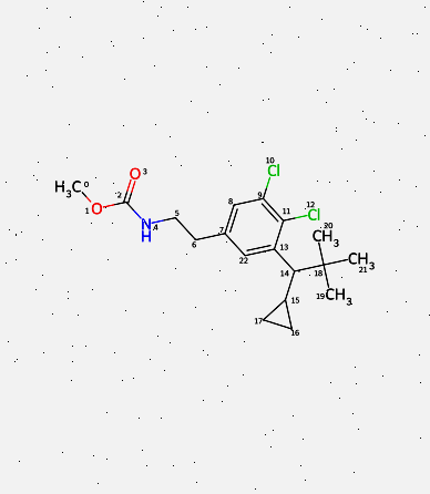 COC(=O)NCCc1cc(Cl)c(Cl)c([C](C2CC2)C(C)(C)C)c1